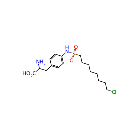 NC(Cc1ccc(NS(=O)(=O)CCCCCCCCCl)cc1)C(=O)O